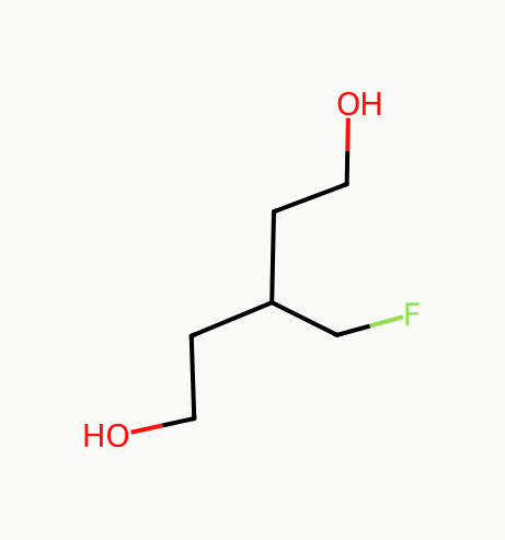 OCCC(CF)CCO